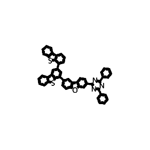 c1ccc(-c2nc(-c3ccccc3)nc(-c3ccc4c(c3)oc3ccc(-c5cc(-c6cccc7c6sc6ccccc67)cc6c5sc5ccccc56)cc34)n2)cc1